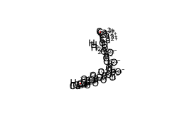 O.O.O.O.[Ca+2].[Ca+2].[Ca+2].[Ca+2].[Ca+2].[Ca+2].[Ca+2].[Ca+2].[Ca+2].[O-]B([O-])[O-].[O-]B([O-])[O-].[O-]B([O-])[O-].[O-]B([O-])[O-].[O-]B([O-])[O-].[O-]B([O-])[O-]